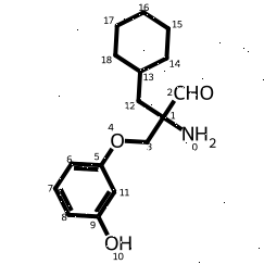 NC(C=O)(COc1cccc(O)c1)CC1CCCCC1